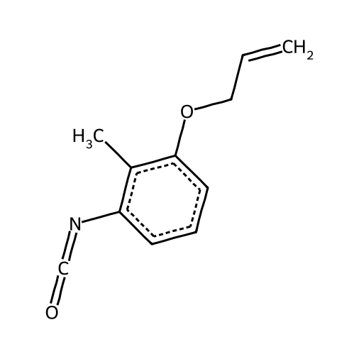 C=CCOc1cccc(N=C=O)c1C